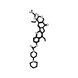 CCc1c2c(nc3ccc(OC(=O)N4CCC(N5CCCCC5)CC4)cc13)C1=CC3=C(COC(=O)[C@@]3(CC)OC(=O)NC)C(=O)C1C2